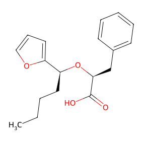 CCCC[C@H](O[C@@H](Cc1ccccc1)C(=O)O)c1ccco1